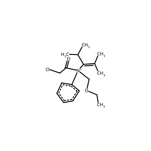 CCOC[N+](C(=O)CCl)(C(=C(C)C)C(C)C)c1ccccc1